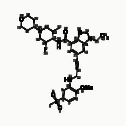 COc1ccc(S(C)(=O)=O)cc1NCC#Cc1cc(C(=O)NC2C(C)CN(C3CCOCC3)CC2F)c2ncn(CC(F)(F)F)c2c1